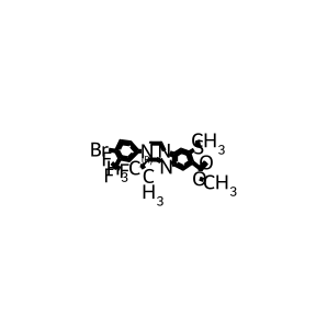 COC(=O)c1cc2nc3n(c2cc1SC)CCN(c1ccc(Br)c(C(F)(F)F)c1)[C@@H]3C(C)C